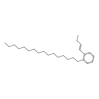 CCC=Cc1ccccc1CCCCCCCCCCCCCCCC